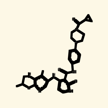 Cc1c(Nc2cc[nH]c(=O)c2C(=O)Nc2ccc(N3CCN(C(=O)C4CC4)CC3)cc2)cnc2c1NCC(C)O2